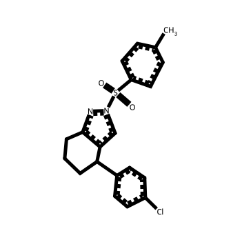 Cc1ccc(S(=O)(=O)n2cc3c(n2)CCCC3c2ccc(Cl)cc2)cc1